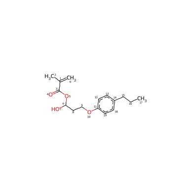 C=C(C)C(=O)OC(O)CCOc1ccc(CCC)cc1